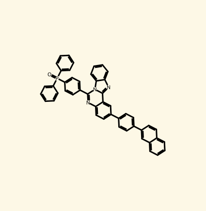 O=P(c1ccccc1)(c1ccccc1)c1ccc(-c2nc3ccc(-c4ccc(-c5ccc6ccccc6c5)cc4)cc3c3nc4ccccc4n23)cc1